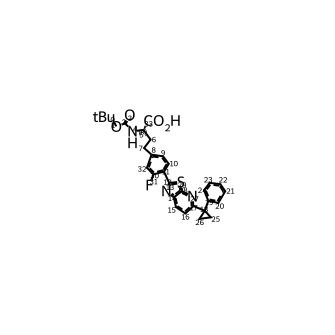 CC(C)(C)OC(=O)N[C@H](CCc1ccc(-c2nc3ccc(C4(c5ccccc5)CC4)nc3s2)c(F)c1)C(=O)O